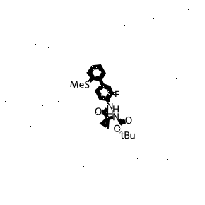 CSc1ccccc1-c1ccc(NC(=O)C2(NC(=O)OC(C)(C)C)CC2)c(F)c1